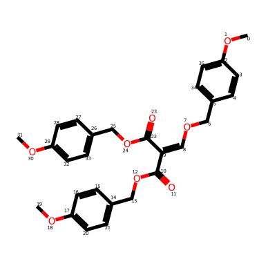 COc1ccc(COC=C(C(=O)OCc2ccc(OC)cc2)C(=O)OCc2ccc(OC)cc2)cc1